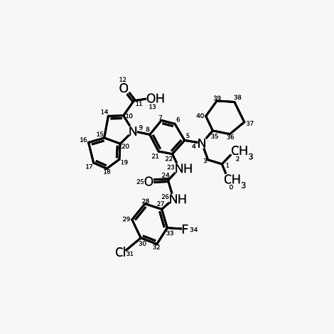 CC(C)CN(c1ccc(-n2c(C(=O)O)cc3ccccc32)cc1NC(=O)Nc1ccc(Cl)cc1F)C1CCCCC1